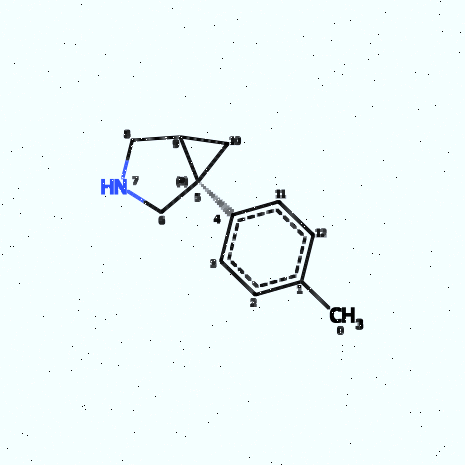 Cc1ccc([C@]23CNCC2C3)cc1